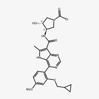 CCC(=O)N1C[C@@H](O)[C@H](NC(=O)c2c(C)[nH]c3c(-c4ccc(OC)cc4OCC4CC4)ncnc23)C1